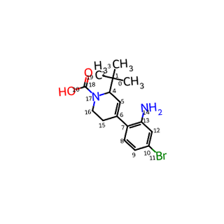 CC(C)(C)C1C=C(c2ccc(Br)cc2N)CCN1C(=O)O